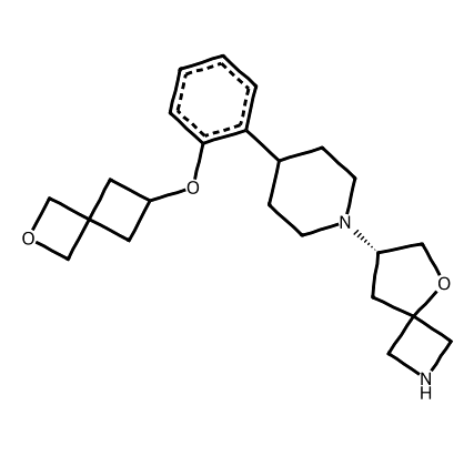 c1ccc(C2CCN([C@@H]3COC4(CNC4)C3)CC2)c(OC2CC3(COC3)C2)c1